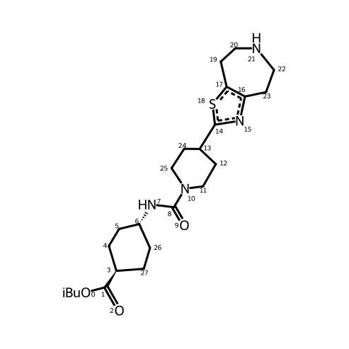 CC(C)COC(=O)[C@H]1CC[C@H](NC(=O)N2CCC(c3nc4c(s3)CCNCC4)CC2)CC1